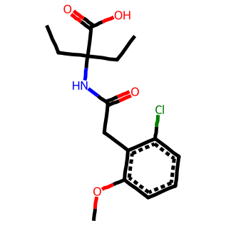 CCC(CC)(NC(=O)Cc1c(Cl)cccc1OC)C(=O)O